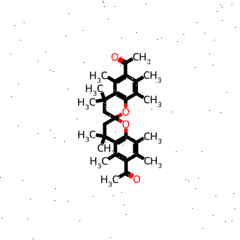 CC(=O)c1c(C)c(C)c2c(c1C)C(C)(C)CC1(CC(C)(C)c3c(C)c(C(C)=O)c(C)c(C)c3O1)O2